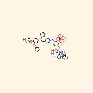 COc1ccc(C(Cc2cc[n+](Cc3ccc(CC(O)NC(C)(C)C)cc3OP(=O)(O)O)cc2)c2ccccc2)cc1OC1CCCC1